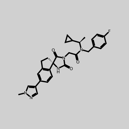 C[C@H](C1CC1)N(Cc1ccc(F)cc1)C(=O)CN1C(=O)N[C@]2(CCc3cc(-c4cnn(C)c4)ccc32)C1=O